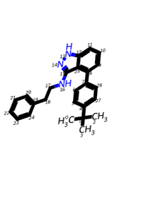 CC(C)(C)c1ccc(-c2cccc3[nH]nc(NCCc4ccccc4)c23)cc1